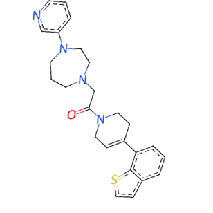 O=C(CN1CCCN(c2cccnc2)CC1)N1CC=C(c2cccc3ccsc23)CC1